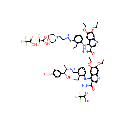 CCOc1cc2ncc(C(N)=O)c(Nc3cccc(CNCCN4CCOCC4)c3CC)c2cc1OCC.CCOc1cc2ncc(C(N)=O)c(Nc3cccc(CN[C@H](C)[C@@H](O)c4ccc(O)cc4)c3CC)c2cc1OCC.O=C(O)C(F)(F)F.O=C(O)C(F)(F)F.O=C(O)C(F)(F)F